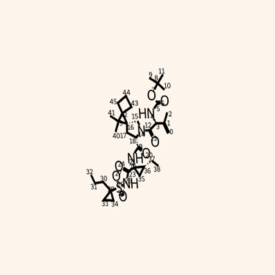 C=C(C)[C@H](NC(=O)OC(C)(C)C)C(=O)N1C[C@]2(C[C@H]1C(=O)N[C@]1(C(=O)NS(=O)(=O)C3(CCC)CC3)C[C@H]1CC)C(C)(C)C21CCC1